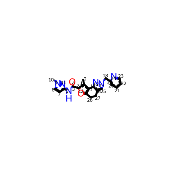 Cc1c(C(=O)Nc2ccn(C)n2)oc2c1-c1nn(Cc3ccccn3)cc1CC2